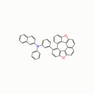 c1ccc(N(c2cccc(-c3ccc4oc5ccc6ccc7oc8cccc9c8c7c6c5c4c3-9)c2)c2ccc3ccccc3c2)cc1